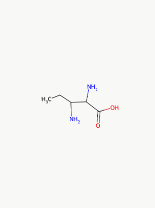 CCC(N)C(N)C(=O)O